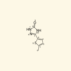 Cc1ccc(-c2n[nH]c(=O)[nH]2)s1